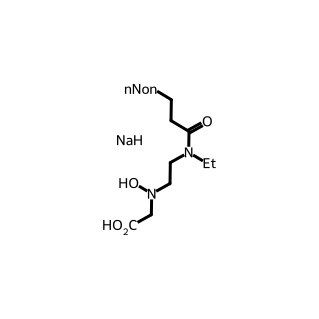 CCCCCCCCCCCC(=O)N(CC)CCN(O)CC(=O)O.[NaH]